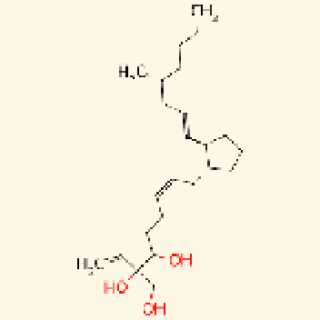 C=CC(O)(CO)C(O)CC/C=C\C[C@H]1CCC[C@@H]1/C=C/C[C@H](C)CCCC